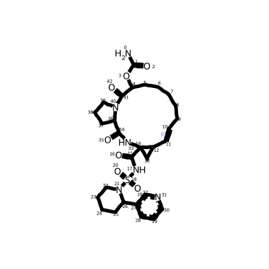 NC(=O)OC1CCCCC/C=C/C2CC2(C(=O)NS(=O)(=O)N2CCCCC2c2cccnc2)NC(=O)C2CCCN2C1=O